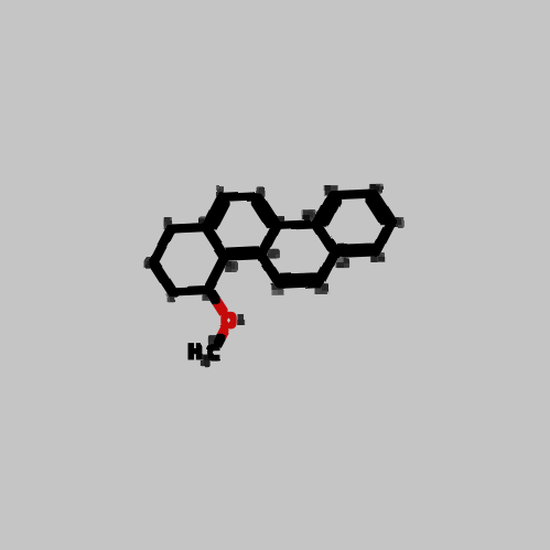 COC1CCCc2ccc3c(ccc4ccccc43)c21